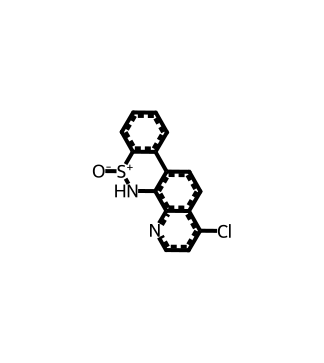 [O-][S+]1Nc2c(ccc3c(Cl)ccnc23)-c2ccccc21